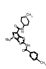 Cc1ccc(C(=O)Nc2nc3c(s2)c(C(=O)NC2CCN(C)CC2)cn3C(C)(C)C)cc1